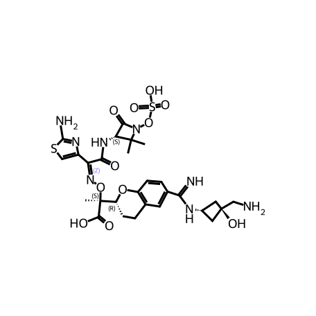 CC1(C)[C@H](NC(=O)/C(=N\O[C@](C)(C(=O)O)[C@H]2CCc3cc(C(=N)N[C@H]4C[C@@](O)(CN)C4)ccc3O2)c2csc(N)n2)C(=O)N1OS(=O)(=O)O